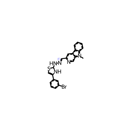 Cn1c2ccccc2c2cc(/C=N/NC3NC(c4cccc(Br)c4)=CS3)ncc21